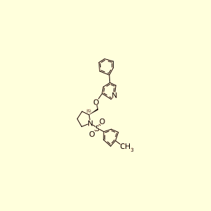 Cc1ccc(S(=O)(=O)N2CCC[C@H]2COc2cncc(-c3ccccc3)c2)cc1